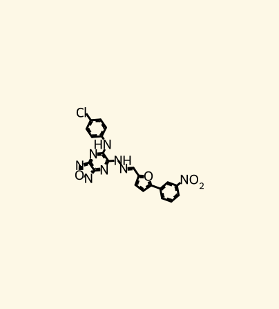 O=[N+]([O-])c1cccc(-c2ccc(C=NNc3nc4nonc4nc3Nc3ccc(Cl)cc3)o2)c1